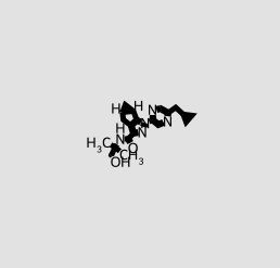 CC(C)(CO)NC(=O)c1nn(-c2cnc(CC3CC3)cn2)c2c1C[C@H]1C[C@@H]21